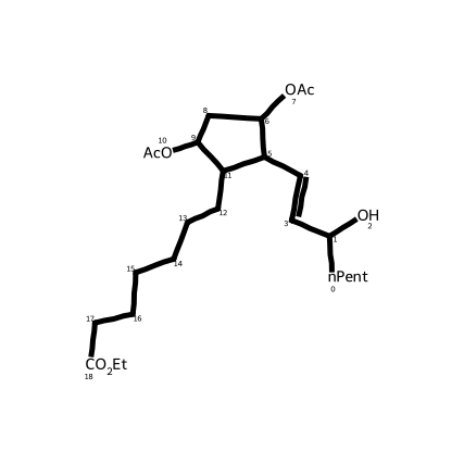 CCCCCC(O)C=CC1C(OC(C)=O)CC(OC(C)=O)C1CCCCCCC(=O)OCC